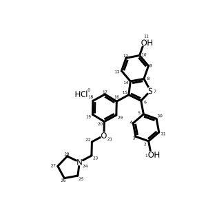 Cl.Oc1ccc(-c2sc3cc(O)ccc3c2-c2cccc(OCCN3CCCC3)c2)cc1